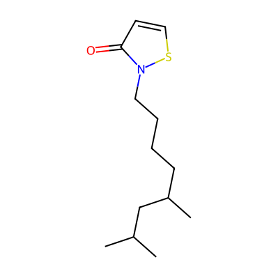 CC(C)CC(C)CCCCn1sccc1=O